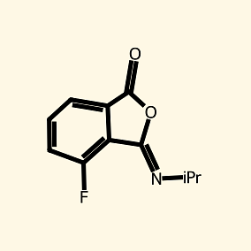 CC(C)N=C1OC(=O)c2cccc(F)c21